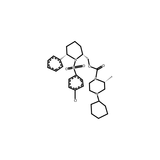 C[C@@H]1CN(C2CCCCC2)CCN1C(=O)OC[C@H]1CCC[C@@H](c2ccccc2)N1S(=O)(=O)c1ccc(Cl)cc1